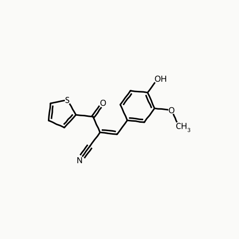 COc1cc(C=C(C#N)C(=O)c2cccs2)ccc1O